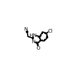 N#CCc1nc(=O)c2ccc(Cl)cc2[nH]1